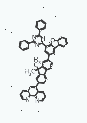 CC1(C)c2cc(-c3cc(-c4nc(-c5ccccc5)nc(-c5ccccc5)n4)c4oc5ccccc5c4c3)ccc2-c2ccc(-c3cc4cccnc4c4ncccc34)cc21